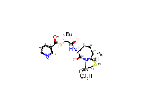 CC[C@H](C)[C@H](SC(=O)c1cccnc1)C(=O)N[C@H]1CC[C@H](C)[C@H]2SC[C@@H](OC(=O)O)N2C1=O